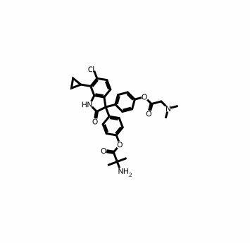 CN(C)CC(=O)Oc1ccc(C2(c3ccc(OC(=O)C(C)(C)N)cc3)C(=O)Nc3c2ccc(Cl)c3C2CC2)cc1